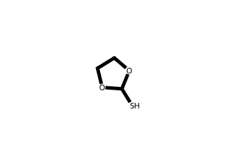 SC1OCCO1